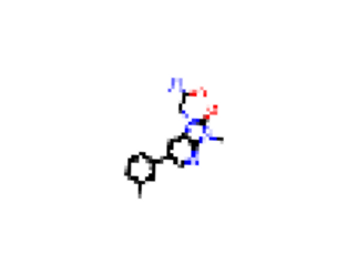 Cc1cccc(-c2cnc3c(c2)n(CC(N)=O)c(=O)n3C)c1